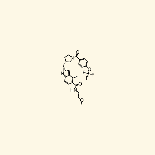 COCCNC(=O)c1ccc2nn(C[C@@H]3CCN(C(=O)c4ccc(OC(F)(F)F)cc4)C3)cc2c1C